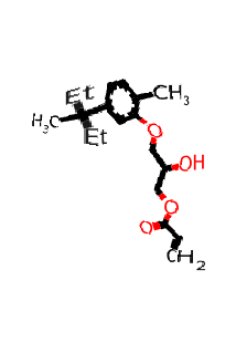 C=CC(=O)OCC(O)COc1cc(C(C)(CC)CC)ccc1C